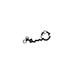 O=C(Cl)C1CC(CCCCCC2CCCCCCCCCCC2)C1